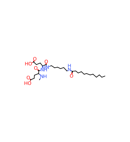 CCCCCCCCCCCC(=O)NCCCCCCNC(=O)C(CCC(=O)O)NC(=O)C(CCC(=O)O)NC